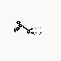 CCOC(=O)CCCOc1cccc(CCCCCCOc2cc(-c3ccccc3)cc(-c3ccc4c(c3)OCCO4)c2)c1CCC(=O)OCC